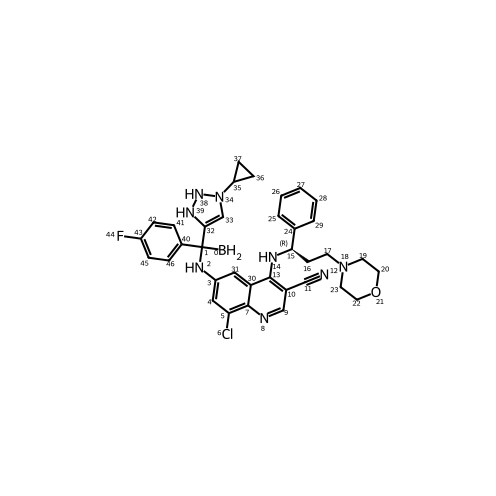 BC(Nc1cc(Cl)c2ncc(C#N)c(N[C@H](CCN3CCOCC3)c3ccccc3)c2c1)(C1=CN(C2CC2)NN1)c1ccc(F)cc1